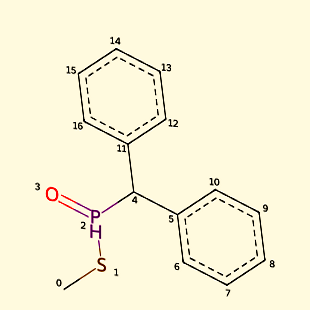 CS[PH](=O)C(c1ccccc1)c1ccccc1